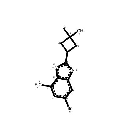 CC1(O)CC(c2nc3cc(Br)cc(C(F)(F)F)c3[nH]2)C1